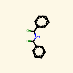 ClC(NC(Cl)c1ccccc1)c1ccccc1